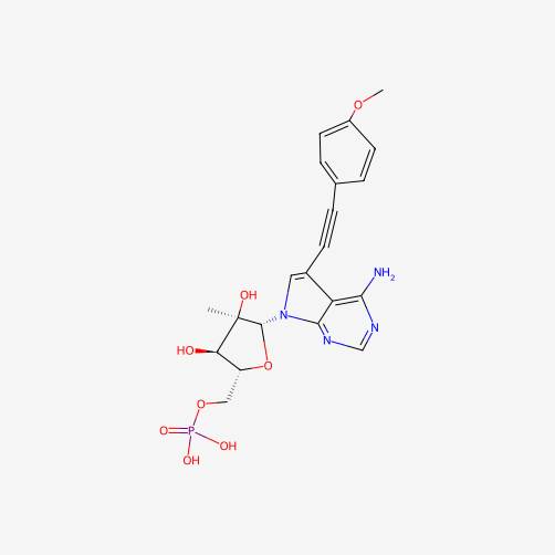 COc1ccc(C#Cc2cn([C@@H]3O[C@H](COP(=O)(O)O)[C@@H](O)[C@@]3(C)O)c3ncnc(N)c23)cc1